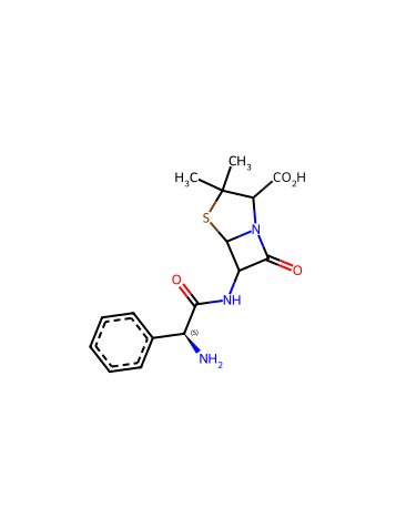 CC1(C)SC2C(NC(=O)[C@@H](N)c3ccccc3)C(=O)N2C1C(=O)O